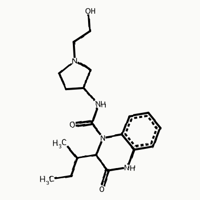 CCC(C)C1C(=O)Nc2ccccc2N1C(=O)NC1CCN(CCO)C1